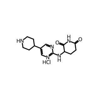 Cl.O=C1CCC(Nc2ncc(C3CCNCC3)cn2)C(=O)N1